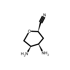 N#C[C@H]1C[C@@H](N)[C@@H](N)CO1